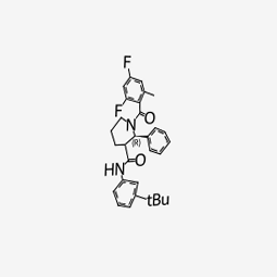 Cc1cc(F)cc(F)c1C(=O)N1CCCC(C(=O)Nc2cccc(C(C)(C)C)c2)[C@@H]1c1ccccc1